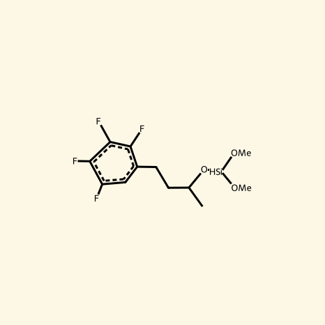 CO[SiH](OC)OC(C)CCc1cc(F)c(F)c(F)c1F